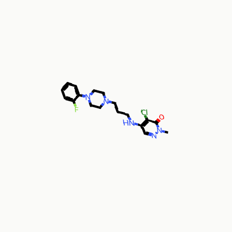 Cn1ncc(NCCCN2CCN(c3ccccc3F)CC2)c(Cl)c1=O